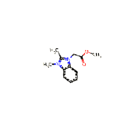 COC(=O)Cn1c(C)[n+](C)c2ccccc21